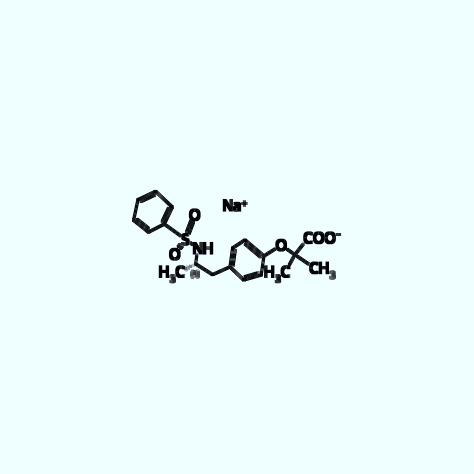 C[C@@H](Cc1ccc(OC(C)(C)C(=O)[O-])cc1)NS(=O)(=O)c1ccccc1.[Na+]